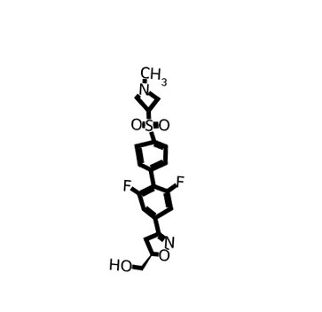 CN1CC(S(=O)(=O)c2ccc(-c3c(F)cc(C4=NO[C@@H](CO)C4)cc3F)cc2)C1